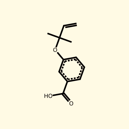 C=CC(C)(C)Oc1cccc(C(=O)O)c1